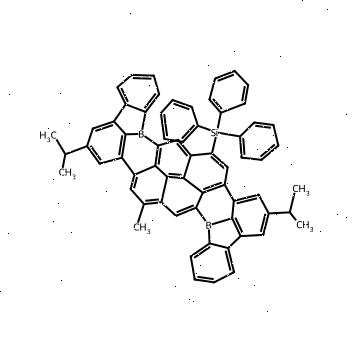 Cc1cc2c3c(cc4c([Si](c5ccccc5)(c5ccccc5)c5ccccc5)cc5c6c(cc1c3c46)B1c3ccccc3-c3cc(C(C)C)cc-5c31)B1c3ccccc3-c3cc(C(C)C)cc-2c31